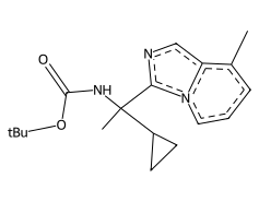 Cc1cccn2c(C(C)(NC(=O)OC(C)(C)C)C3CC3)ncc12